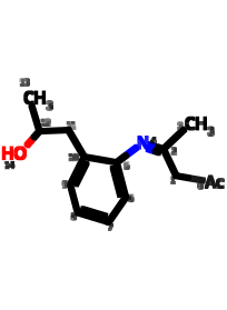 CC(=O)CC(C)=Nc1ccccc1CC(C)O